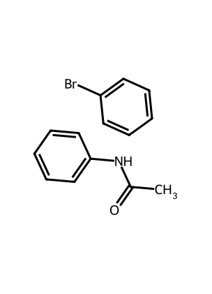 Brc1ccccc1.CC(=O)Nc1ccccc1